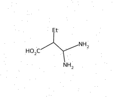 CCC(C(=O)O)C(N)N